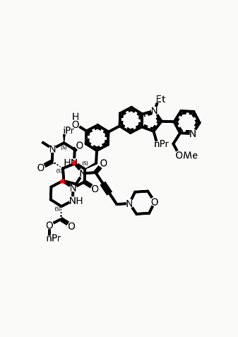 CCCOC(=O)[C@@H]1CCCN(C(=O)[C@H](Cc2cc(O)cc(-c3ccc4c(c3)c(CCC)c(-c3cccnc3COC)n4CC)c2)NC(=O)[C@H](C(C)C)N(C)C(=O)[C@H]2CCN(C(=O)C#CCN3CCOCC3)C2)N1